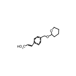 O=C(O)/C=C/c1ccc(COC2CCCCO2)cc1